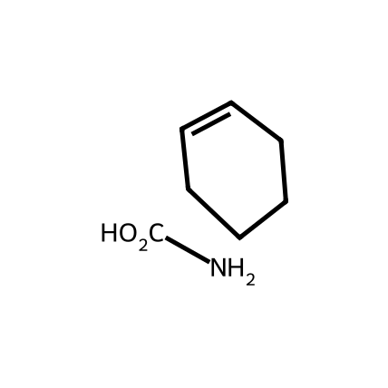 C1=CCCCC1.NC(=O)O